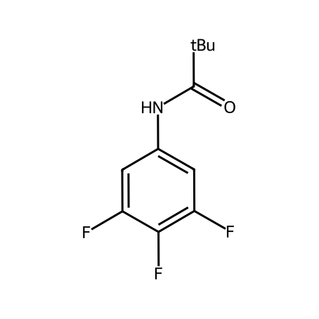 CC(C)(C)C(=O)Nc1cc(F)c(F)c(F)c1